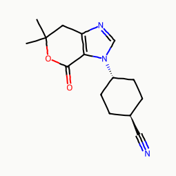 CC1(C)Cc2ncn([C@H]3CC[C@H](C#N)CC3)c2C(=O)O1